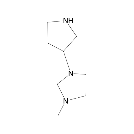 CN1CCN(C2CCNC2)C1